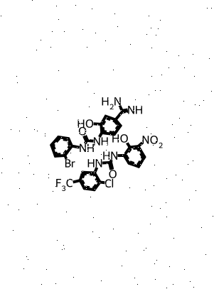 N=C(N)c1ccc(NC(=O)Nc2ccccc2Br)c(O)c1.O=C(Nc1cc(C(F)(F)F)ccc1Cl)Nc1cccc([N+](=O)[O-])c1O